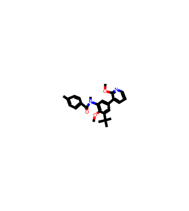 COc1ncccc1-c1cc(N(C)C(=O)c2ccc(C)cc2)c(OC)c(C(C)(C)C)c1